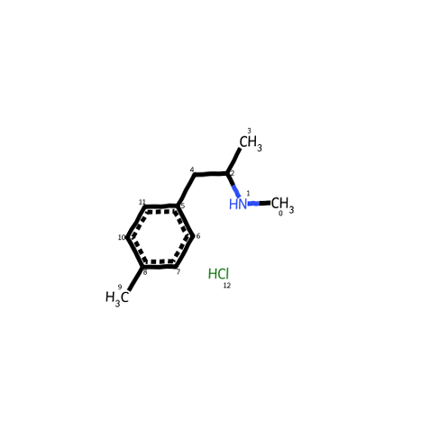 CNC(C)Cc1ccc(C)cc1.Cl